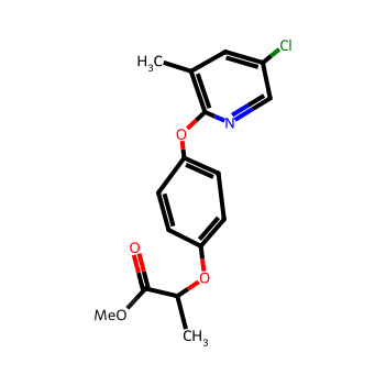 COC(=O)C(C)Oc1ccc(Oc2ncc(Cl)cc2C)cc1